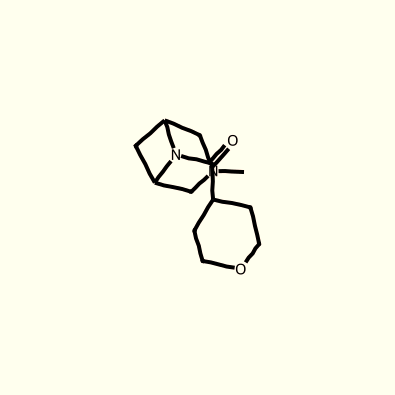 CN1CC2CC(C1)N2C(=O)C1CCOCC1